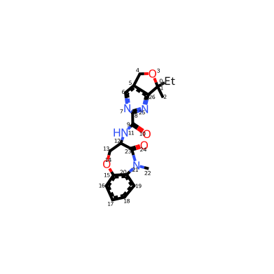 CCC1(C)OCc2cnc(C(=O)NC3COc4ccccc4N(C)C3=O)nc21